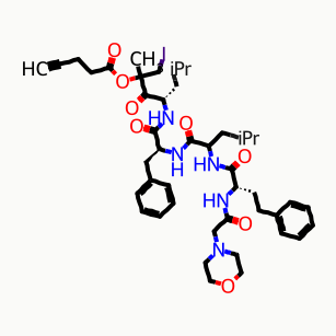 C#CCCC(=O)OC(C)(CI)C(=O)[C@H](CC(C)C)NC(=O)[C@H](Cc1ccccc1)NC(=O)C(CC(C)C)NC(=O)[C@H](CCc1ccccc1)NC(=O)CN1CCOCC1